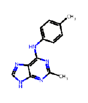 Cc1ccc(Nc2nc(C)nc3[nH]cnc23)cc1